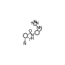 CC(C)c1c(C#N)cccc1C(=O)Nc1ccc2cnn(-c3cn(C)nn3)c2c1